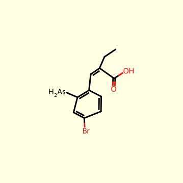 CCC(=Cc1ccc(Br)cc1[AsH2])C(=O)O